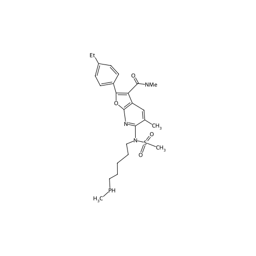 CCc1ccc(-c2oc3nc(N(CCCCCPC)S(C)(=O)=O)c(C)cc3c2C(=O)NC)cc1